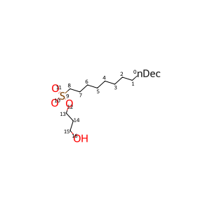 CCCCCCCCCCCCCCCCCCS(=O)(=O)OCCCO